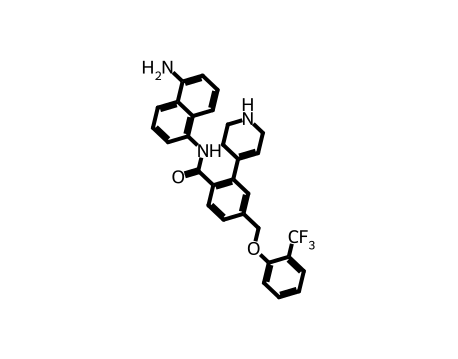 Nc1cccc2c(NC(=O)c3ccc(COc4ccccc4C(F)(F)F)cc3C3=CCNCC3)cccc12